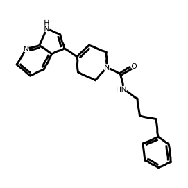 O=C(NCCCc1ccccc1)N1CC=C(c2c[nH]c3ncccc23)CC1